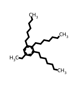 CCCCCCCc1cc(CC)cc(CCCCCCC)c1CCCCCCC